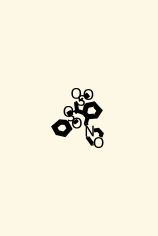 O=S1(=O)CC(S(=O)(=O)c2ccccc2)c2c(CN3CCOCC3)cccc21